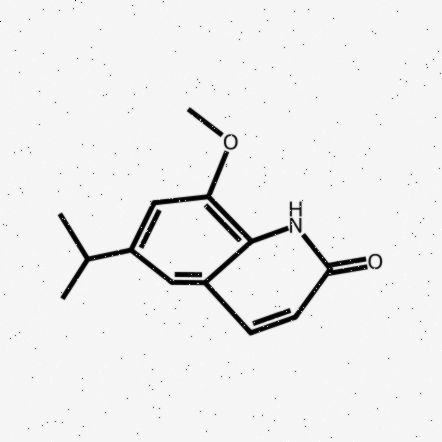 COc1cc(C(C)C)cc2ccc(=O)[nH]c12